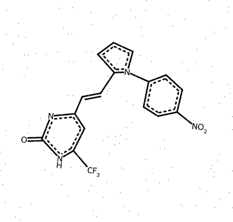 O=c1nc(C=Cc2cccn2-c2ccc([N+](=O)[O-])cc2)cc(C(F)(F)F)[nH]1